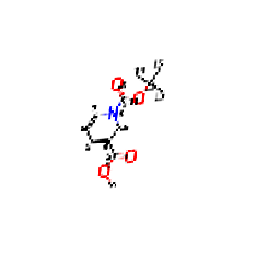 COC(=O)C1=CC=CN(C(=O)OC(C)(C)C)C1